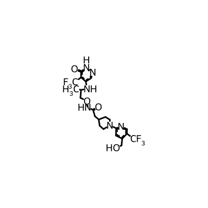 CC(CONC(=O)CC1CCN(c2cc(CO)c(C(F)(F)F)cn2)CC1)Nc1cn[nH]c(=O)c1C(F)(F)F